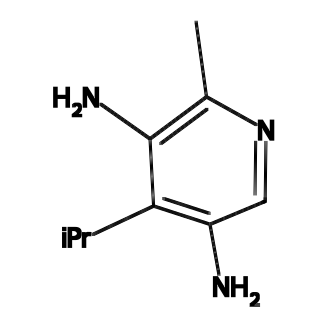 Cc1ncc(N)c(C(C)C)c1N